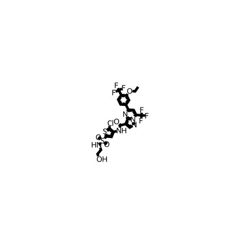 CCOc1cc(-c2cc(C(F)(F)F)n3ncc(C(=O)Nc4cc(S(=O)(=O)NCCO)sc4Cl)c3n2)ccc1C(F)(F)F